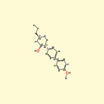 CCC[C@H]1CC[C@H](c2ccc(-c3ccc(OC)cc3)cc2)C(=O)C1